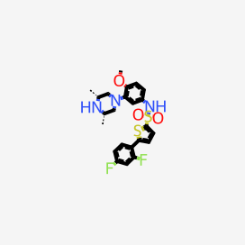 COc1ccc(NS(=O)(=O)c2ccc(-c3ccc(F)cc3F)s2)cc1N1C[C@@H](C)N[C@@H](C)C1